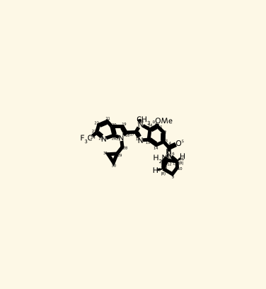 COc1cc(C(=O)N2C[C@H]3CC[C@@H]2[C@@H]3N)cc2nc(-c3cc4ccc(C(F)(F)F)nc4n3CC3CC3)n(C)c12